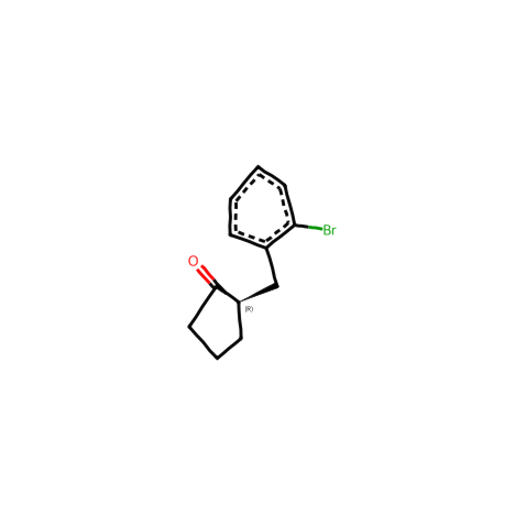 O=C1CCC[C@@H]1Cc1ccccc1Br